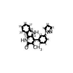 Cc1c(-c2cccc(-n3cccn3)c2)c2[nH]c3ccccc3c2[nH]c1=O